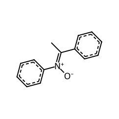 CC(c1ccccc1)=[N+]([O-])c1ccccc1